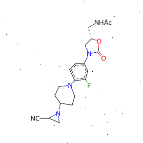 CC(=O)NC[C@H]1CN(c2ccc(N3CCC(N4CC4C#N)CC3)c(F)c2)C(=O)O1